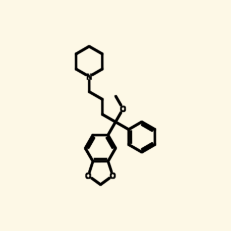 COC(CCCN1CCCCC1)(c1ccccc1)c1ccc2c(c1)OCO2